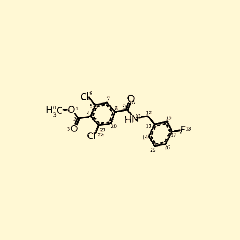 COC(=O)c1c(Cl)cc(C(=O)NCc2cccc(F)c2)cc1Cl